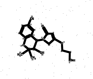 CCCCCCCCCCCCOC1=CC(=O)N(C2c3cc(C#N)ccc3OC(C)(C)C2O)C1